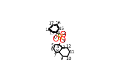 O=S(=O)(OC1CCCC2CCCCC21)c1ccccc1